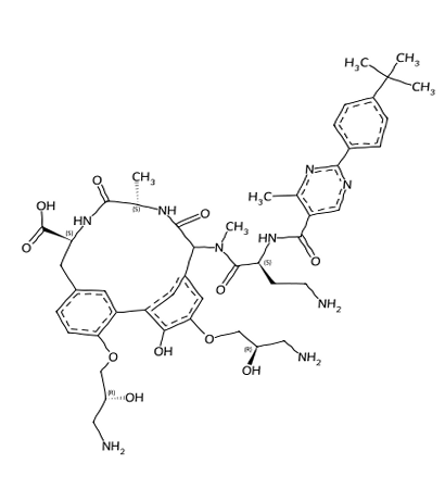 Cc1nc(-c2ccc(C(C)(C)C)cc2)ncc1C(=O)N[C@@H](CCN)C(=O)N(C)C1C(=O)N[C@@H](C)C(=O)N[C@H](C(=O)O)Cc2ccc(OC[C@H](O)CN)c(c2)-c2cc1cc(OC[C@H](O)CN)c2O